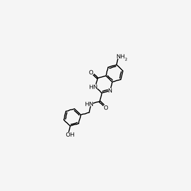 Nc1ccc2nc(C(=O)NCc3cccc(O)c3)[nH]c(=O)c2c1